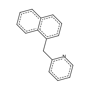 c1ccc(Cc2cccc3ccccc23)nc1